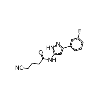 N#CCCCC(=O)Nc1cc(-c2cccc(F)c2)n[nH]1